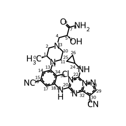 C[C@H]1CN(C[C@H](O)C(N)=O)CCN1c1cc(C#N)cc(Nc2nc(NC3CC3)n3ncc(C#N)c3n2)c1Cl